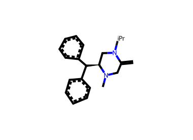 C=C1CN(C)[C@@H](C(c2ccccc2)c2ccccc2)CN1C(C)C